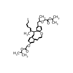 C=CC(Cc1ccc2c(c1)C(/C(C)=C/C=C\CI)\C=c1/ccc(OCC(=O)OC(C)C)c/c1=C/C=C/O2)OCC(=O)OC(C)C